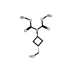 CC(C)(C)OC(=O)N(C(=O)OC(C)(C)C)[C@H]1C[C@H](CO)C1